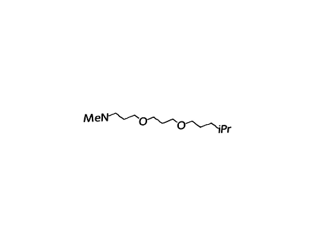 CNCCCOCCCOCCCC(C)C